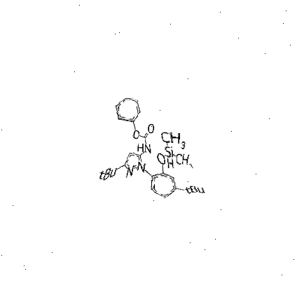 C[SiH](C)Oc1cc(C(C)(C)C)ccc1-n1nc(C(C)(C)C)cc1NC(=O)Oc1ccccc1